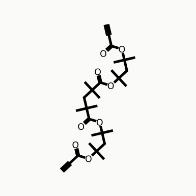 C#CC(=O)OC(C)(C)CC(C)(C)OC(=O)C(C)(C)CC(C)(C)C(=O)OC(C)(C)CC(C)(C)OC(=O)C#C